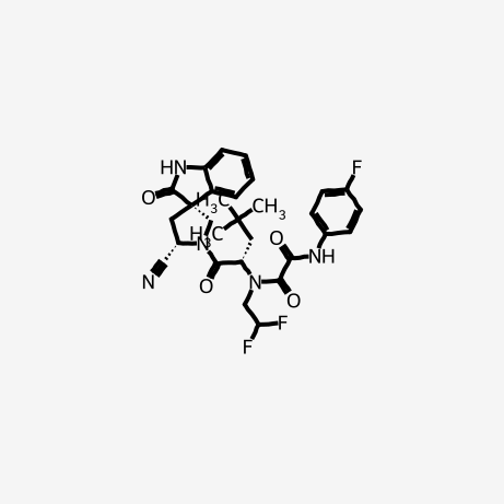 CC(C)(C)C[C@@H](C(=O)N1C[C@]2(C[C@H]1C#N)C(=O)Nc1ccccc12)N(CC(F)F)C(=O)C(=O)Nc1ccc(F)cc1